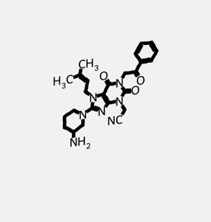 CC(C)=CCn1c(N2CCCC(N)C2)nc2c1c(=O)n(CC(=O)c1ccccc1)c(=O)n2CC#N